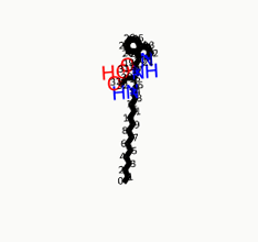 CCCCCCCCCCCCCCNC[C@H](NC(=O)c1nccc2ccccc12)[C@@H](O)C=O